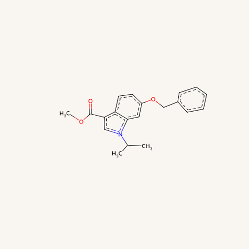 COC(=O)c1cn(C(C)C)c2cc(OCc3ccccc3)ccc12